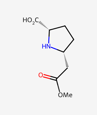 COC(=O)C[C@H]1CC[C@@H](C(=O)O)N1